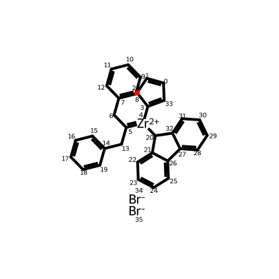 C1=CC[C]([Zr+2](=[C](Cc2ccccc2)Cc2ccccc2)[CH]2c3ccccc3-c3ccccc32)=C1.[Br-].[Br-]